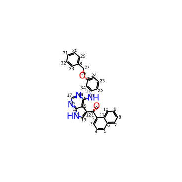 O=C(c1cccc2ccccc12)c1c[nH]c2ncnc(Nc3cccc(OCc4ccccc4)c3)c12